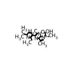 CCc1nc(C(C)C)ccc1-c1nc2c(C)cn([C@@H](CC)C(=O)O)c2nc1C